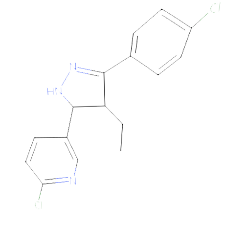 CCC1C(c2ccc(Cl)cc2)=NNC1c1ccc(Cl)nc1